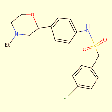 CCN1CCOC(c2ccc(NS(=O)(=O)Cc3ccc(Cl)cc3)cc2)C1